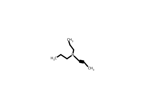 CC#CN(CCC)CCC